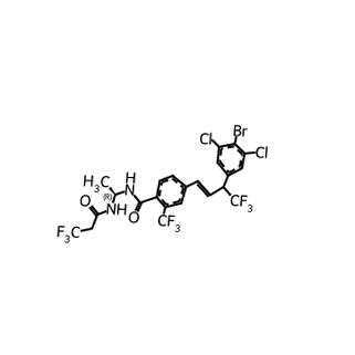 C[C@H](NC(=O)CC(F)(F)F)NC(=O)c1ccc(C=CC(c2cc(Cl)c(Br)c(Cl)c2)C(F)(F)F)cc1C(F)(F)F